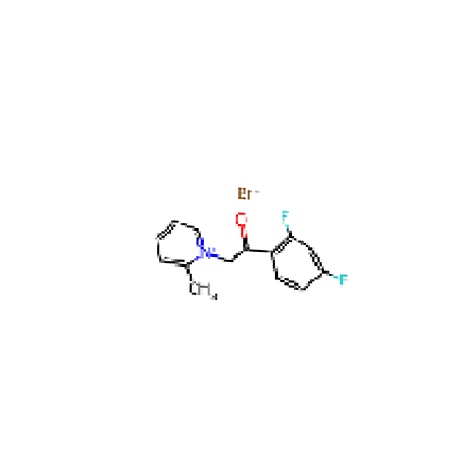 Cc1cccc[n+]1CC(=O)c1ccc(F)cc1F.[Br-]